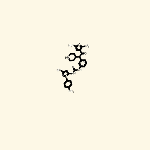 Cc1ccc(-n2nc(C(C)(C)C)cc2NC(=O)Nc2cccc(C(C(=O)c3cc(C)oc3C(F)(F)F)C3CCNCC3)c2)cc1